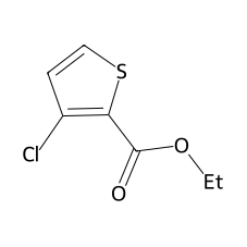 CCOC(=O)c1sccc1Cl